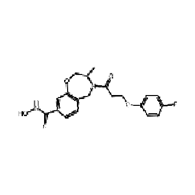 CC1COc2cc(C(=O)NO)ccc2CN1C(=O)CCOc1ccc(F)cc1